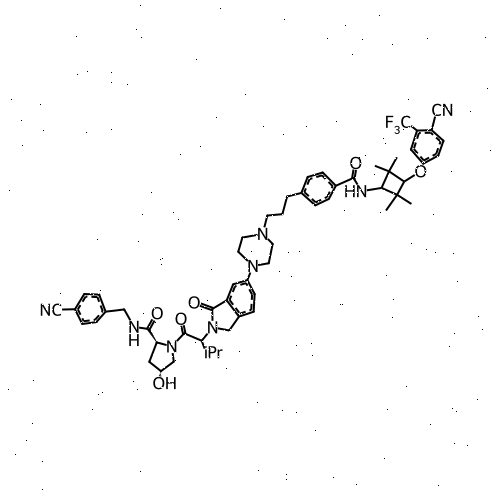 CC(C)C(C(=O)N1C[C@H](O)C[C@H]1C(=O)NCc1ccc(C#N)cc1)N1Cc2ccc(N3CCN(CCCc4ccc(C(=O)NC5C(C)(C)C(Oc6ccc(C#N)c(C(F)(F)F)c6)C5(C)C)cc4)CC3)cc2C1=O